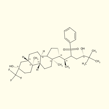 C[C@H](C(C[C@H](O)C(C)(C)C)S(=O)(=O)c1ccccc1)[C@H]1CCC2[C@@H]3CC[C@H]4C[C@](O)(C(F)(F)F)CC[C@]4(C)[C@H]3CC[C@@]21C